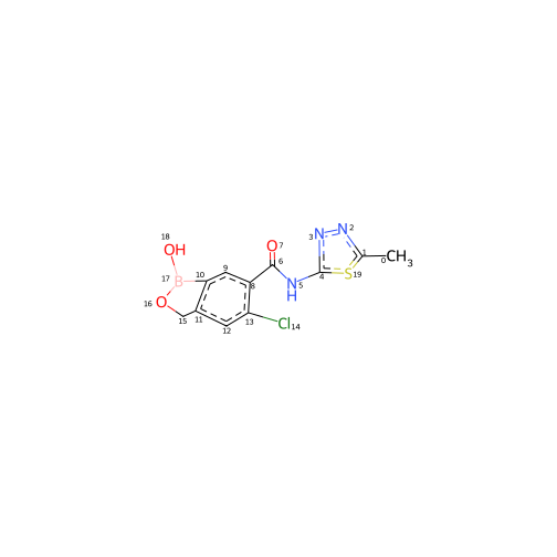 Cc1nnc(NC(=O)c2cc3c(cc2Cl)COB3O)s1